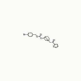 O=C(OCc1ccc(Br)cc1)OC1C[N+]2(CC(=O)c3cccs3)CCC1CC2